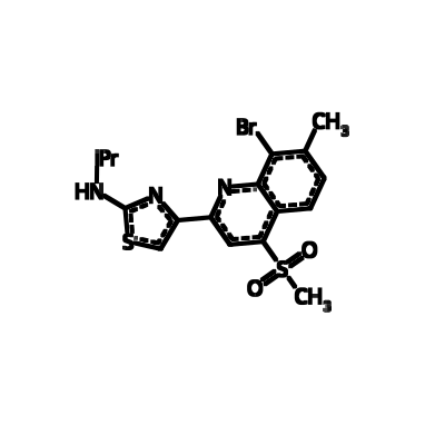 Cc1ccc2c(S(C)(=O)=O)cc(-c3csc(NC(C)C)n3)nc2c1Br